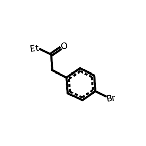 CCC(=O)Cc1ccc(Br)cc1